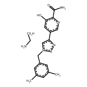 Cc1cc(C)cc(Cn2cc(-c3cnc(C(N)=O)c(O)c3)nn2)c1.NCC(=O)O